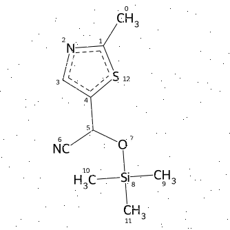 Cc1ncc(C(C#N)O[Si](C)(C)C)s1